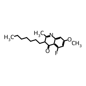 CCCCCCCC1C(=O)c2c(F)cc(OC)cc2N=C1C